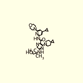 CC(C)(CO)Nc1cnc(C(=O)Nc2cc(C3CC3)cc(N3CCOCC3)n2)c(N2CCC3(CC2)CC3)n1